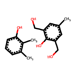 Cc1cc(CO)c(O)c(CO)c1.Cc1cccc(O)c1C